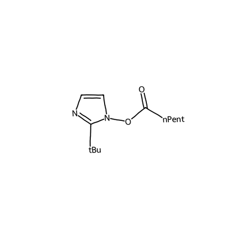 CCCCCC(=O)On1ccnc1C(C)(C)C